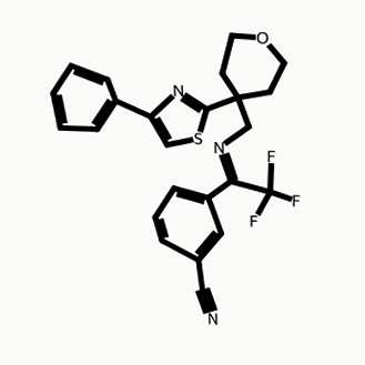 N#Cc1cccc(/C(=N/CC2(c3nc(-c4ccccc4)cs3)CCOCC2)C(F)(F)F)c1